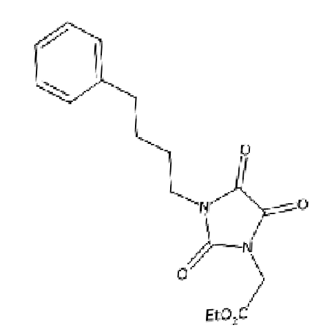 CCOC(=O)CN1C(=O)C(=O)N(CCCCc2ccccc2)C1=O